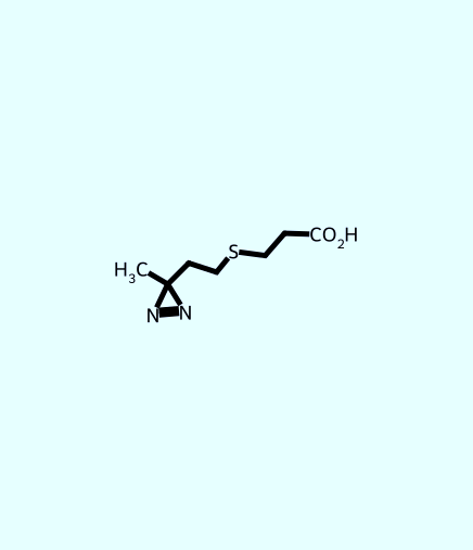 CC1(CCSCCC(=O)O)N=N1